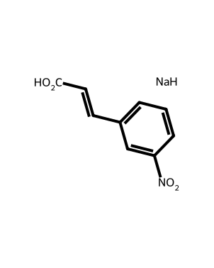 O=C(O)C=Cc1cccc([N+](=O)[O-])c1.[NaH]